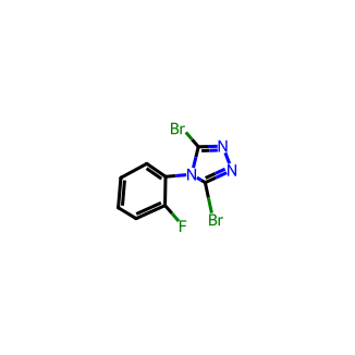 Fc1ccccc1-n1c(Br)nnc1Br